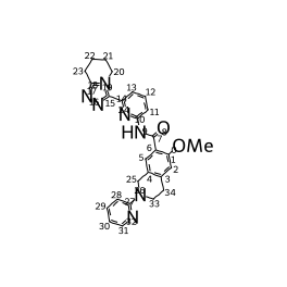 COc1cc2c(cc1C(=O)Nc1cccc(-c3nnc4n3CCCC4)n1)CN(c1ccccn1)CC2